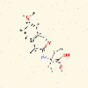 CCC(CC)(NC(=O)C(C)c1ccc(OC)cc1C)C(=O)O